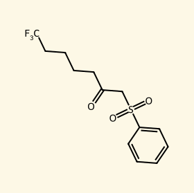 O=C(CCCCC(F)(F)F)CS(=O)(=O)c1ccccc1